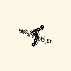 CCOC(=O)CCN(Cc1ccc(Oc2ccccc2)cc1)C(=O)[C@H]1[C@@H](C(=O)O)[C@H](C(=O)O)[C@@H]1C(=O)N(CCC(=O)OCC)Cc1ccc(Oc2ccccc2)cc1